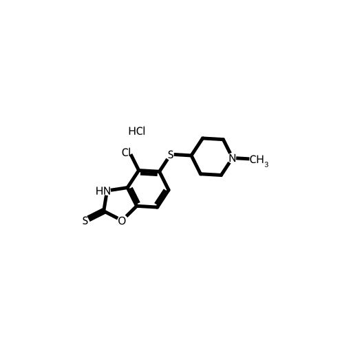 CN1CCC(Sc2ccc3oc(=S)[nH]c3c2Cl)CC1.Cl